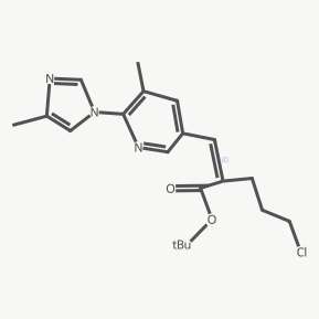 Cc1cn(-c2ncc(/C=C(/CCCCl)C(=O)OC(C)(C)C)cc2C)cn1